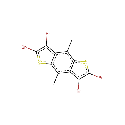 Cc1c2sc(Br)c(Br)c2c(C)c2sc(Br)c(Br)c12